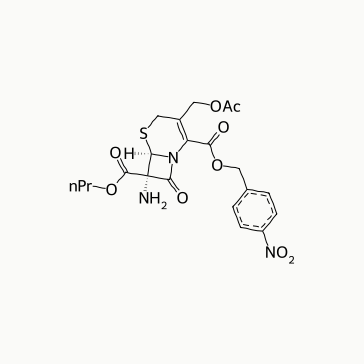 CCCOC(=O)[C@]1(N)C(=O)N2C(C(=O)OCc3ccc([N+](=O)[O-])cc3)=C(COC(C)=O)CS[C@@H]21